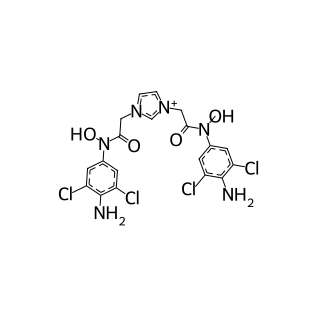 Nc1c(Cl)cc(N(O)C(=O)Cn2cc[n+](CC(=O)N(O)c3cc(Cl)c(N)c(Cl)c3)c2)cc1Cl